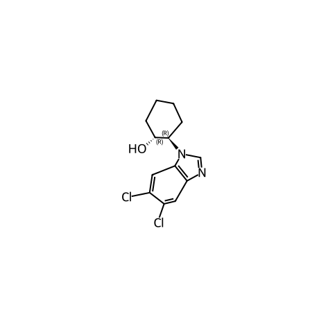 O[C@@H]1CCCC[C@H]1n1cnc2cc(Cl)c(Cl)cc21